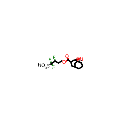 O=C(OCCC(F)C(F)(F)S(=O)(=O)O)C1CC2CC3CCC1C(O)(C3)C2